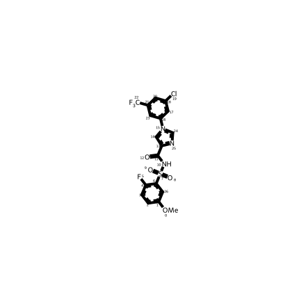 COc1ccc(F)c(S(=O)(=O)NC(=O)c2cn(-c3cc(Cl)cc(C(F)(F)F)c3)cn2)c1